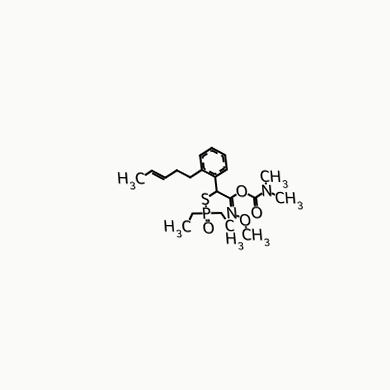 CC=CCCc1ccccc1C(SP(=O)(CC)CC)C(=NOC)OC(=O)N(C)C